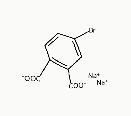 O=C([O-])c1ccc(Br)cc1C(=O)[O-].[Na+].[Na+]